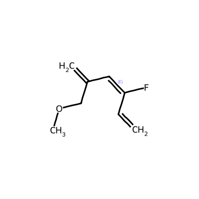 C=C/C(F)=C\C(=C)COC